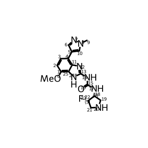 COc1ccc(-c2cnn(C)c2)c2nc(NC(=O)N[C@@H]3CNC[C@@H]3F)[nH]c12